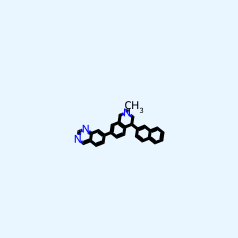 CN1Cc2cc(-c3ccc4cncnc4c3)ccc2C(c2ccc3ccccc3c2)C1